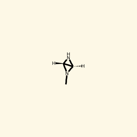 CN1[C@@H]2N[C@H]21